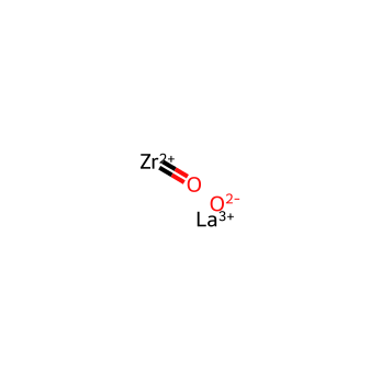 [La+3].[O-2].[O]=[Zr+2]